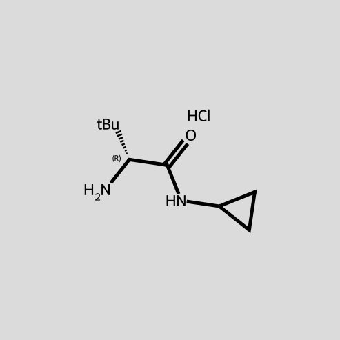 CC(C)(C)[C@@H](N)C(=O)NC1CC1.Cl